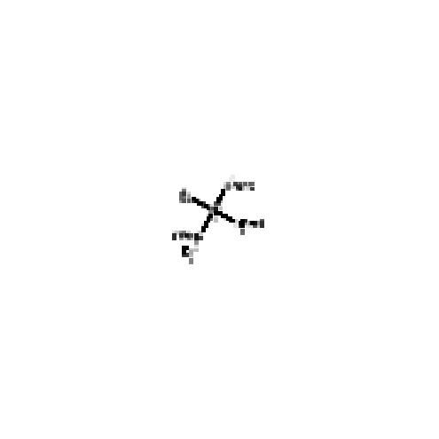 CCCCC[N+](CC)(CCCCC)CCCCC.[Br-]